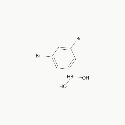 Brc1cccc(Br)c1.OBO